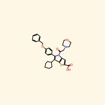 O=C(O)c1cc2c(s1)c(C1CCCCC1)c(-c1ccc(OCc3ccccc3)cc1)n2C(=O)CN1CCOCC1